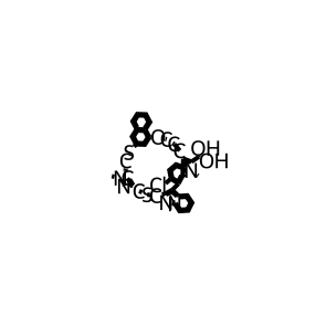 Cn1nc2cc1CSc1cc(c3ccccc3c1)OCCCc1c(C(O)O)n(C)c3c(c(Cl)ccc13)-c1c(nn3ccccc13)CSC2